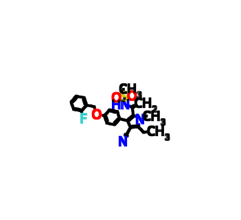 C=C(NS(C)(=O)=O)c1c(-c2ccc(OCc3ccccc3F)cc2)c(C#N)c(CC)n1C